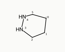 [CH]1CCNNC1